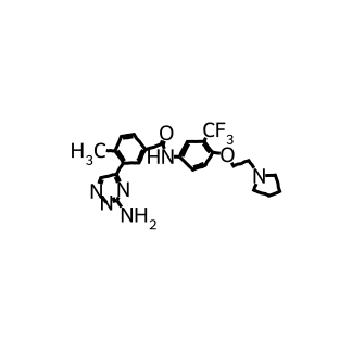 Cc1ccc(C(=O)Nc2ccc(OCCN3CCCC3)c(C(F)(F)F)c2)cc1-c1cnnc(N)n1